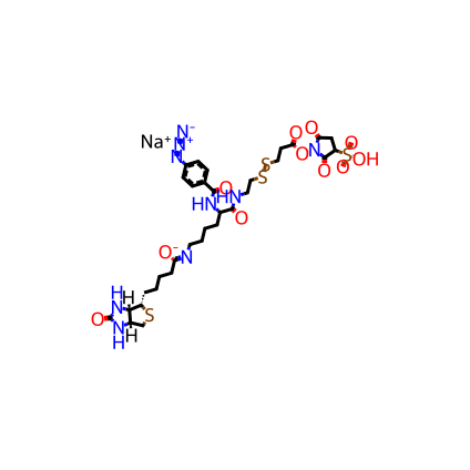 [N-]=[N+]=Nc1ccc(C(=O)NC(CCCCN=C([O-])CCCC[C@@H]2SC[C@@H]3NC(=O)N[C@@H]32)C(=O)NCCSSCCC(=O)ON2C(=O)CC(S(=O)(=O)O)C2=O)cc1.[Na+]